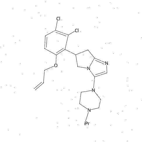 C=CCOc1ccc(Cl)c(Cl)c1C1Cc2ncc(N3CCN(C(C)C)CC3)n2C1